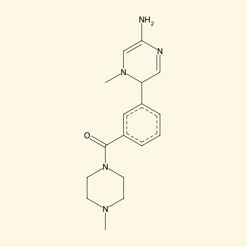 CN1CCN(C(=O)c2cccc(C3C=NC(N)=CN3C)c2)CC1